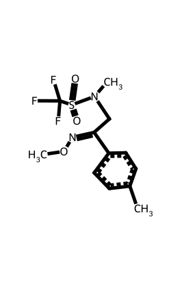 CO/N=C(/CN(C)S(=O)(=O)C(F)(F)F)c1ccc(C)cc1